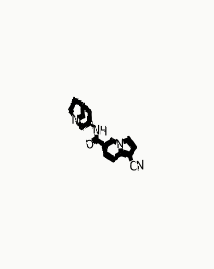 N#Cc1ccn2cc(C(=O)N[C@@H]3CC4CCN(C4)C3)ccc12